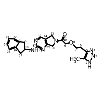 Cc1[nH]nnc1CCOCC(=O)N1Cc2cnc(NC3Cc4ccccc4C3)nc2C1